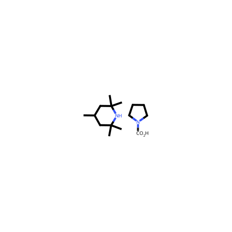 CC1CC(C)(C)NC(C)(C)C1.O=C(O)N1CCCC1